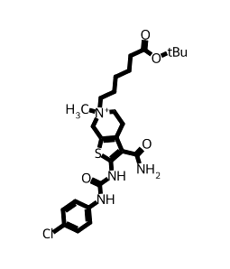 CC(C)(C)OC(=O)CCCCC[N+]1(C)CCc2c(sc(NC(=O)Nc3ccc(Cl)cc3)c2C(N)=O)C1